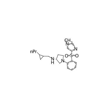 CCCC1CC1CN[C@@H]1CCN(c2ccccc2S(=O)(=O)c2cn(C)cn2)C1